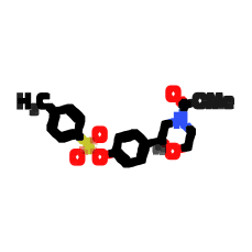 COC(=O)N1CCO[C@@H](c2ccc(OS(=O)(=O)c3ccc(C)cc3)cc2)C1